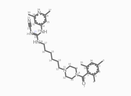 Cc1cc(C)c(C(=O)N2CCN(CCCCCCN/C(=N/C#N)Nc3cc(C)nc(C)c3)CC2)c(C)c1